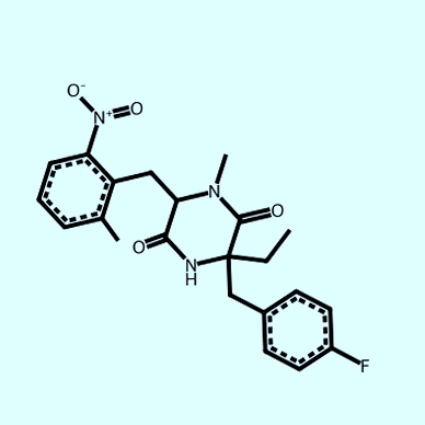 CCC1(Cc2ccc(F)cc2)NC(=O)C(Cc2c(C)cccc2[N+](=O)[O-])N(C)C1=O